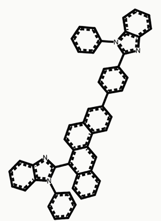 c1ccc(-n2c(-c3ccc(-c4ccc5c(ccc6c(-c7nc8ccccc8n7-c7ccccc7)c7ccccc7cc65)c4)cc3)nc3ccccc32)cc1